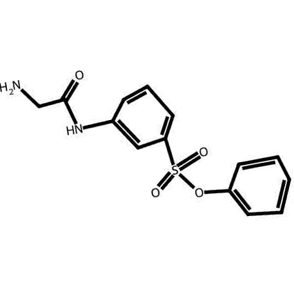 NCC(=O)Nc1cccc(S(=O)(=O)Oc2ccccc2)c1